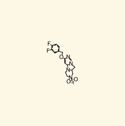 CS(=O)(=O)N1CCN2C(CN3C=NC(OCc4ccc(F)c(F)c4)=CC32)C1